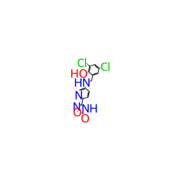 O=c1[nH]c(-c2ccc(NCc3cc(Cl)cc(Cl)c3O)cn2)no1